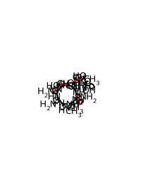 CC(C)C[C@@H]1NC(=O)[C@@H](Cc2ccccc2)NC(=O)[C@H](CCN)NC(=O)[C@@H](NC(=O)[C@@H](CO)NC(=O)[C@@H](NC(=O)C(SO)C2CCCCC2)C(C)O)CCNC(=O)[C@H](C(C)O)NC(=O)[C@H](CCN)NC(=O)[C@H](CCN)NC1=O